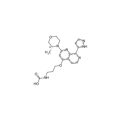 C[C@@H]1COCCN1c1cc(OCCCNC(=O)O)c2ccnc(-c3ccn[nH]3)c2n1